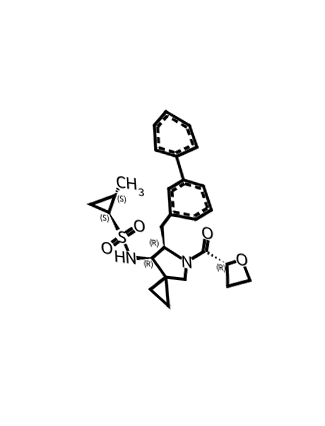 C[C@H]1C[C@@H]1S(=O)(=O)N[C@H]1[C@@H](Cc2cccc(-c3ccccc3)c2)N(C(=O)[C@H]2CCO2)CC12CC2